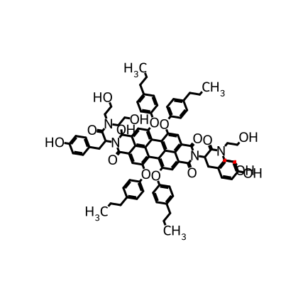 CCCc1ccc(Oc2cc3c4c(cc(Oc5ccc(CCC)cc5)c5c6c(Oc7ccc(CCC)cc7)cc7c8c(cc(Oc9ccc(CCC)cc9)c(c2c45)c86)C(=O)N(C(Cc2ccc(O)cc2)C(=O)N(CCO)CCO)C7O)C(=O)N(C(Cc2ccc(O)cc2)C(=O)N(CCO)CCO)C3=O)cc1